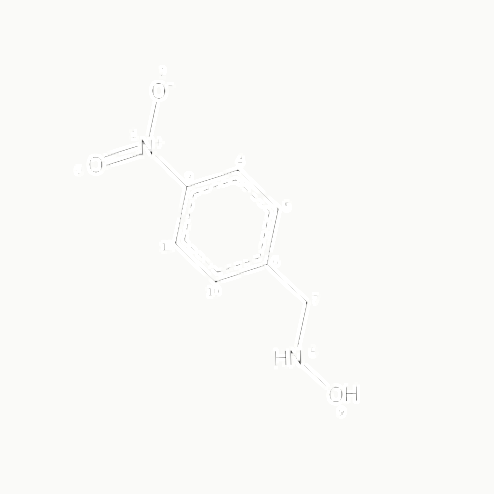 O=[N+]([O-])c1ccc(CNO)cc1